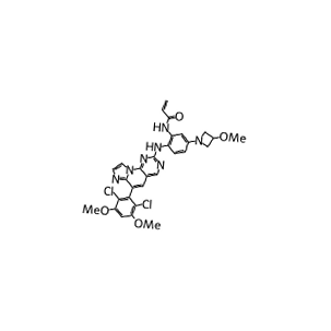 C=CC(=O)Nc1cc(N2CC(OC)C2)ccc1Nc1ncc2cc(-c3c(Cl)c(OC)cc(OC)c3Cl)c3nccn3c2n1